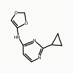 C1=C(Nc2ccnc(C3CC3)n2)OCO1